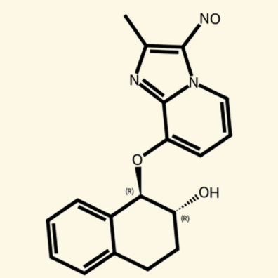 Cc1nc2c(O[C@@H]3c4ccccc4CC[C@H]3O)cccn2c1N=O